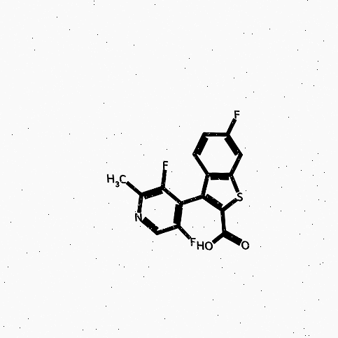 Cc1ncc(F)c(-c2c(C(=O)O)sc3cc(F)ccc23)c1F